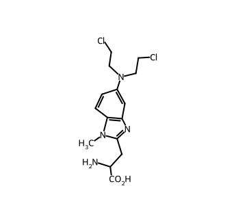 Cn1c(CC(N)C(=O)O)nc2cc(N(CCCl)CCCl)ccc21